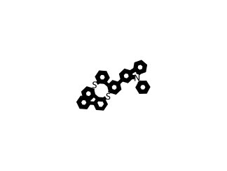 C1=C(c2ccccc2)C2=C(CC1)Sc1ccc(-c3ccc4c5ccccc5n(-c5ccccc5)c4c3)cc1-c1ccccc1Sc1ccccc12